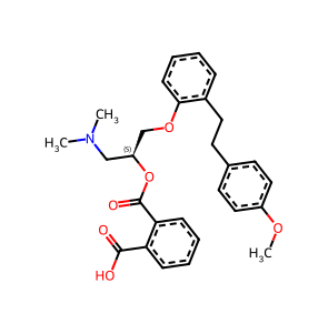 COc1ccc(CCc2ccccc2OC[C@H](CN(C)C)OC(=O)c2ccccc2C(=O)O)cc1